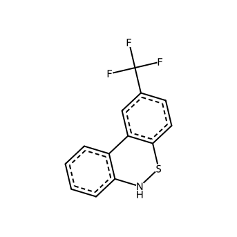 FC(F)(F)c1ccc2c(c1)-c1ccccc1NS2